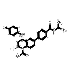 CC(=O)N1c2ccc(-c3ccc(C(=O)NC(C)C)cc3)cc2[C@H](Nc2ccc(Cl)cc2)C[C@@H]1C